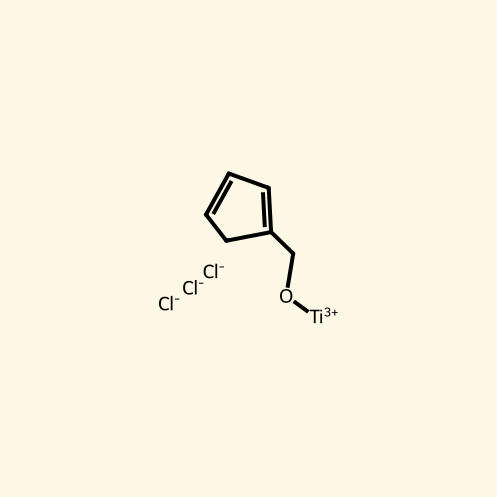 [Cl-].[Cl-].[Cl-].[Ti+3][O]CC1=CC=CC1